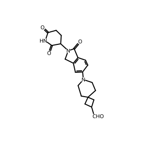 O=CC1CC2(CCN(c3ccc4c(c3)CN(C3CCC(=O)NC3=O)C4=O)CC2)C1